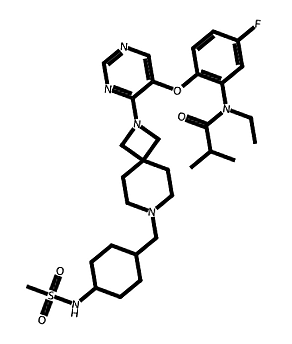 CCN(C(=O)C(C)C)c1cc(F)ccc1Oc1cncnc1N1CC2(CCN(CC3CCC(NS(C)(=O)=O)CC3)CC2)C1